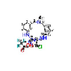 CC(=O)N1Cc2cccc(c2)Nc2ncc(Cl)c(n2)Nc2cccc(c2)C1.O=C(O)C(F)(F)F